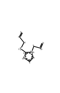 C=CCSc1nccn1CC=C